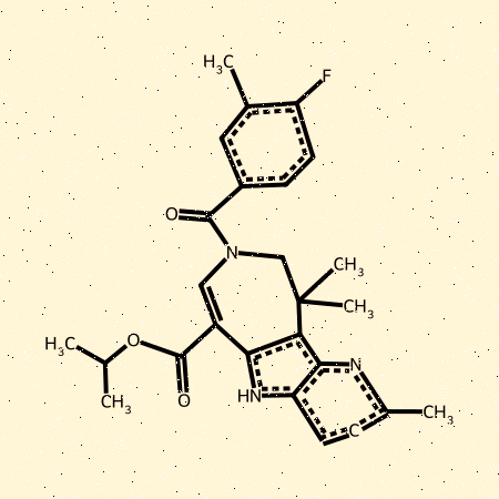 Cc1ccc2[nH]c3c(c2n1)C(C)(C)CN(C(=O)c1ccc(F)c(C)c1)C=C3C(=O)OC(C)C